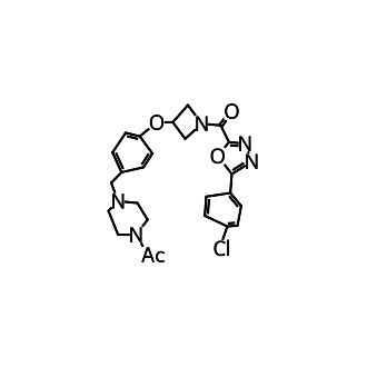 CC(=O)N1CCN(Cc2ccc(OC3CN(C(=O)c4nnc(-c5ccc(Cl)cc5)o4)C3)cc2)CC1